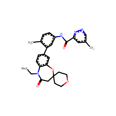 CSCN1C(=O)CC2(CCOCC2)Oc2cc(-c3cc(NC(=O)c4cc(C(F)(F)F)cnn4)ccc3C)ccc21